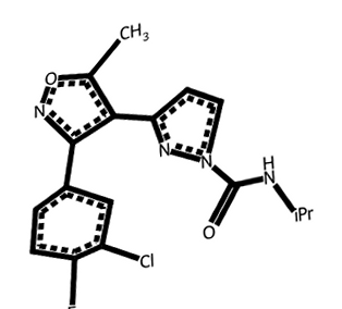 Cc1onc(-c2ccc(F)c(Cl)c2)c1-c1ccn(C(=O)NC(C)C)n1